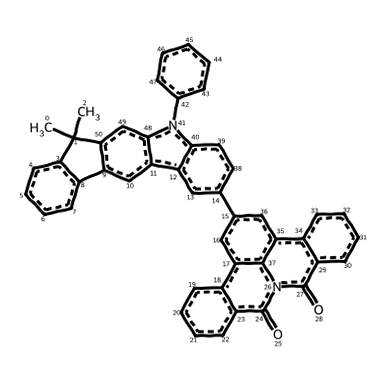 CC1(C)c2ccccc2-c2cc3c4cc(-c5cc6c7ccccc7c(=O)n7c(=O)c8ccccc8c(c5)c67)ccc4n(-c4ccccc4)c3cc21